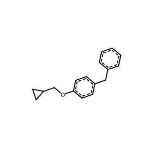 [c]1cccc(Cc2ccc(OCC3CC3)cc2)c1